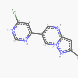 Cc1cc2ncc(-c3cc(Cl)ncn3)cn2n1